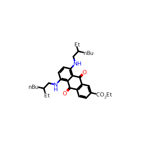 CCCCC(CC)CNc1ccc(NCC(CC)CCCC)c2c1C(=O)c1ccc(C(=O)OCC)cc1C2=O